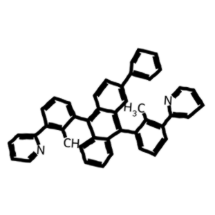 Cc1c(-c2ccccn2)cccc1-c1c2ccccc2c(-c2cccc(-c3ccccn3)c2C)c2cc(-c3ccccc3)ccc12